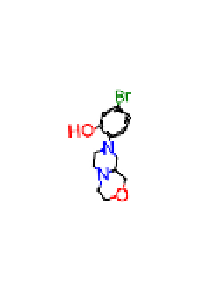 Oc1cc(Br)ccc1N1CCN2CCOCC2C1